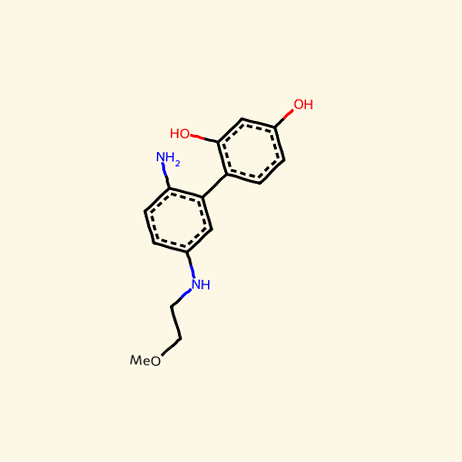 COCCNc1ccc(N)c(-c2ccc(O)cc2O)c1